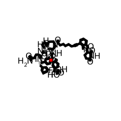 NC(=O)CCC(NC(=O)[C@@H]1CC[C@@H]2CCN(C(=O)CCCCCC#Cc3cccc4c3CN(C3CCC(=O)NC3=O)C4=O)C[C@H](NC(=O)c3cc4cc(C(F)(F)P(=O)(O)O)ccc4s3)C(=O)N21)C(=O)N[C@@H](Cc1ccccc1)c1ccccc1